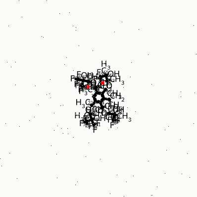 C=C(C)c1c(C(C)(C)OC(C)(C)C(C)(O)C(F)(F)F)c(C(C)(C)OC(C)(C)C(O)(C(F)(F)F)C(F)(F)F)cc(C(C)(C)OC(C)(C)C(O)(C(F)(F)F)C(F)(F)F)c1C(C)(C)OC(C)(C)C(C)(O)C(F)(F)F